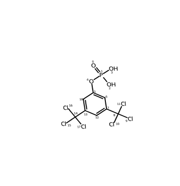 O=P(O)(O)Oc1cc(C(Cl)(Cl)Cl)cc(C(Cl)(Cl)Cl)c1